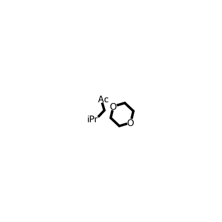 C1COCCO1.CC(=O)CC(C)C